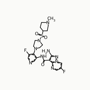 CN1CCC(S(=O)(=O)N2CCN(c3c(F)cncc3NC(=O)c3c(N)nn4cc(F)cnc34)CC2)CC1